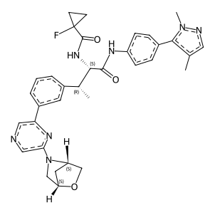 Cc1cnn(C)c1-c1ccc(NC(=O)[C@@H](NC(=O)C2(F)CC2)[C@H](C)c2cccc(-c3cncc(N4C[C@@H]5C[C@H]4CO5)n3)c2)cc1